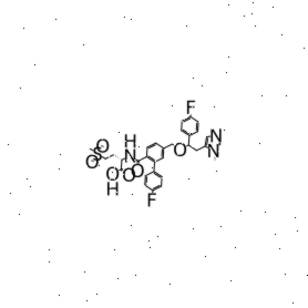 Cn1cncc1CC(OCc1ccc(C(=O)N[C@@H](CCS(C)(=O)=O)C(=O)O)c(-c2ccc(F)cc2)c1)c1ccc(F)cc1